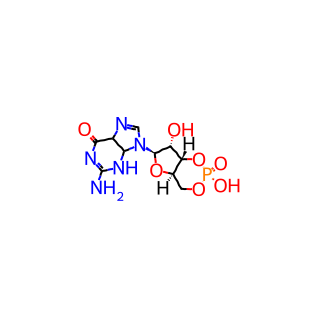 NC1=NC(=O)C2N=CN([C@@H]3O[C@@H]4COP(=O)(O)O[C@H]4[C@H]3O)C2N1